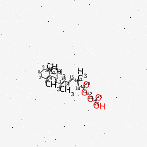 CC(C=CC1=C(C)CCCC1(C)C)=CC=CC(C)=CC(=O)OCOC(=O)O